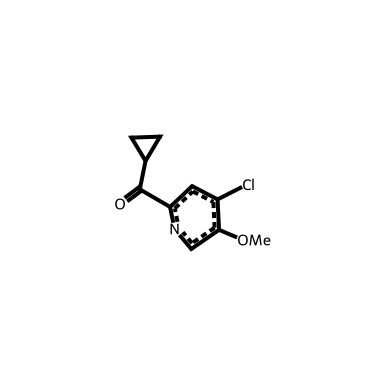 COc1cnc(C(=O)C2CC2)cc1Cl